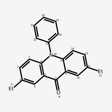 CCc1ccc2c(c1)c(=O)c1cc(CC)ccc1n2-c1ccccc1